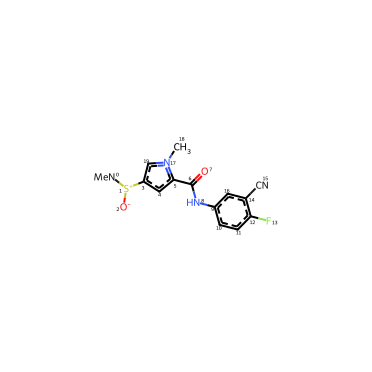 CN[S+]([O-])c1cc(C(=O)Nc2ccc(F)c(C#N)c2)n(C)c1